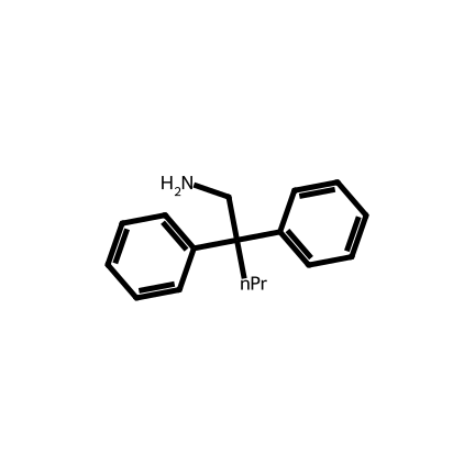 CCCC(CN)(c1ccccc1)c1ccccc1